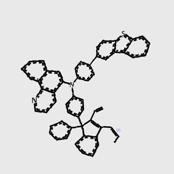 C=CC1=C(/C=C\C)c2ccccc2C1(c1ccccc1)c1ccc(N(c2ccc(-c3ccc4sc5ccccc5c4c3)cc2)c2cc3ccccc3c3ncccc23)cc1